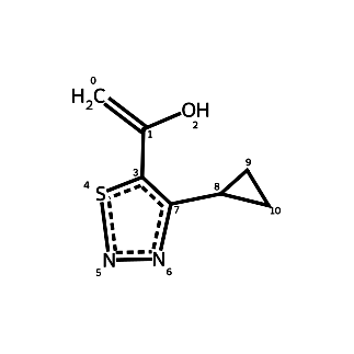 C=C(O)c1snnc1C1CC1